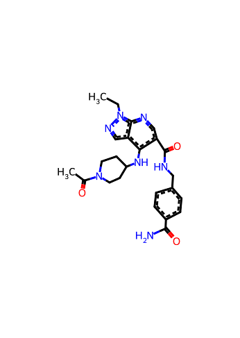 CCn1ncc2c(NC3CCN(C(C)=O)CC3)c(C(=O)NCc3ccc(C(N)=O)cc3)cnc21